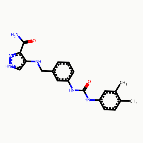 Cc1ccc(NC(=O)Nc2cccc(CNc3c[nH]nc3C(N)=O)c2)cc1C